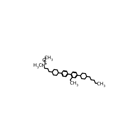 CCCCCC1CCC(c2ccc(-c3ccc(C4CCC(CCCN(C)SOC)CC4)cc3)c(CC)c2)CC1